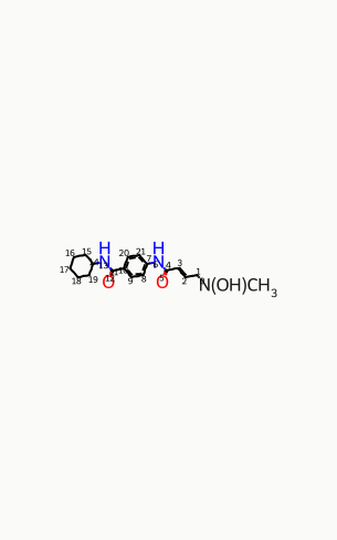 CN(O)C/C=C/C(=O)Nc1ccc(C(=O)NC2CCCCC2)cc1